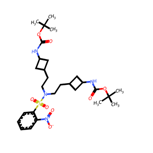 CC(C)(C)OC(=O)NC1CC(CCN(CCC2CC(NC(=O)OC(C)(C)C)C2)S(=O)(=O)c2ccccc2[N+](=O)[O-])C1